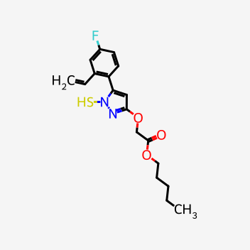 C=Cc1cc(F)ccc1-c1cc(OCC(=O)OCCCCC)nn1S